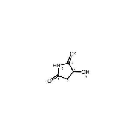 O=C1C[C](O)C(=O)N1